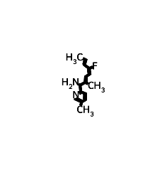 C/C=C/C(F)=C\C=C(/C)C(N)c1ccc(C)cn1